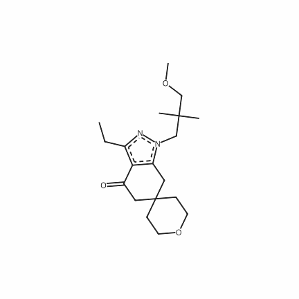 CCc1nn(CC(C)(C)COC)c2c1C(=O)CC1(CCOCC1)C2